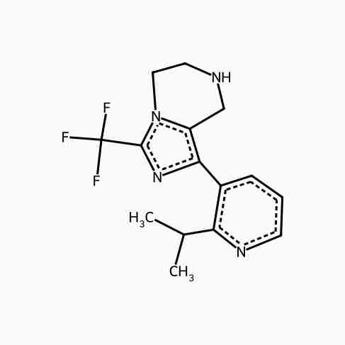 CC(C)c1ncccc1-c1nc(C(F)(F)F)n2c1CNCC2